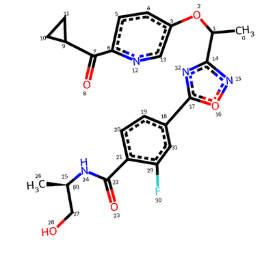 CC(Oc1ccc(C(=O)C2CC2)nc1)c1noc(-c2ccc(C(=O)N[C@H](C)CO)c(F)c2)n1